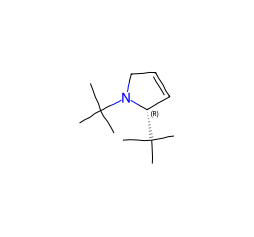 CC(C)(C)[C@H]1C=CCN1C(C)(C)C